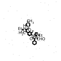 CCC(=O)N[C@@H](C(=O)N1CCN(C)CC1)[C@@H](C)c1ccc(NC(=O)[C@H](C2CCCCC2)N(C=O)c2cccn2CC)c(F)c1